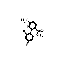 Cc1ccc(C(N)=O)c(-c2ccc(F)cc2F)n1